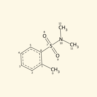 Cc1cc[c]cc1S(=O)(=O)N(C)C